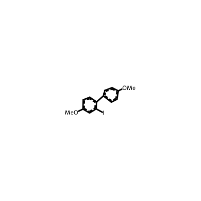 COc1ccc(-c2ccc(OC)cc2I)cc1